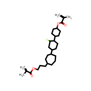 C=C(C)C(=O)OCCCC1CCCC(C2CCC(C3CCC(OC(=O)C(=C)C)CC3)C(F)C2)CC1